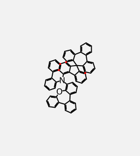 c1ccc(-c2ccccc2N(c2cccc3c2Oc2ccccc2-c2ccccc2-3)c2cccc3c2-c2ccccc2C32c3ccccc3-c3ccccc3-c3ccccc32)cc1